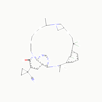 CC1CCCCCn2c(=O)c(C3(C#N)CC3)cc3c(ncnc32)N[C@H](C)c2cccc(c2F)C(F)(F)CCC2CN1C2